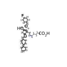 O=C(O)CCC/C=C\C[C@@H]1[C@@H](COCc2ccc(F)cc2)[C@H](O)C[C@H]1OCc1ccc(-c2ccccc2)cc1